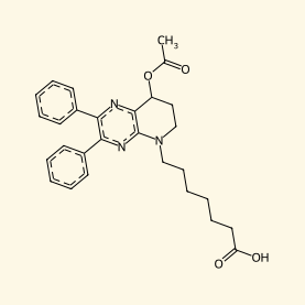 CC(=O)OC1CCN(CCCCCCC(=O)O)c2nc(-c3ccccc3)c(-c3ccccc3)nc21